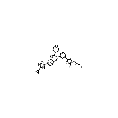 CCn1cc(-c2cccc(N(CC34CCC(c5nc(C6CC6)no5)(CC3)CC4)C(=O)C3CCOCC3)c2)oc1=O